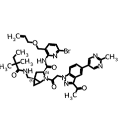 C=CCOCc1ccc(Br)nc1NC(=O)[C@@H]1C[C@@]2(CNC(=O)C(C)(C)CC)CC2N1C(=O)Cn1nc(C(C)=O)c2cc(-c3cnc(C)nc3)ccc21